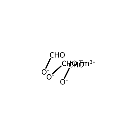 O=C[O-].O=C[O-].O=C[O-].[Tm+3]